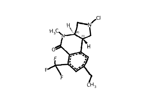 CCc1cc2c(c(C(F)(F)F)c1)C(=O)N(C)[C@H]1CN(Cl)C[C@H]21